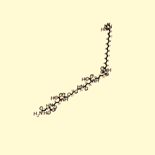 NC(=O)CC[C@H](NC(=O)CC[C@H](NC(=O)COCCOCCNC(=O)CC[C@H](NCCCCS(=O)(=O)NC(=O)CCCCCCCCCCCCCCCc1nnn[nH]1)C(=O)O)C(=O)O)C(=O)O